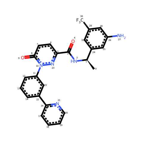 C[C@@H](NC(=O)c1ccc(=O)n(-c2cccc(-c3ccccn3)c2)n1)c1cc(N)cc(C(F)(F)F)c1